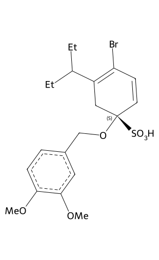 CCC(CC)C1=C(Br)C=C[C@@](OCc2ccc(OC)c(OC)c2)(S(=O)(=O)O)C1